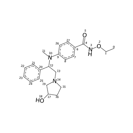 CCONC(=O)c1ccc(N(C)C(CN2CCC(O)C2)c2ccccc2)cc1